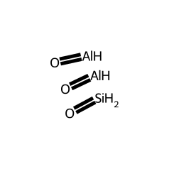 O=[SiH2].[O]=[AlH].[O]=[AlH]